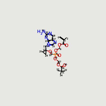 C=C(C)C(=O)OCOP(=O)(COC1(Cn2cnc3cnc(N)nc32)CC1)OCOC(=O)C(C)(C)C